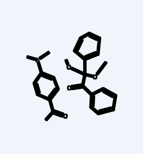 CC(=O)c1ccc(N(C)C)cc1.COC(OC)(C(=O)c1ccccc1)c1ccccc1